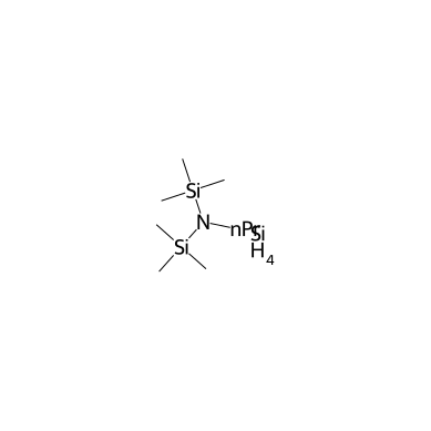 CCCN([Si](C)(C)C)[Si](C)(C)C.[SiH4]